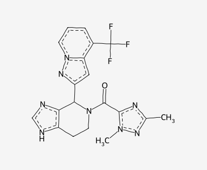 Cc1nc(C(=O)N2CCc3[nH]cnc3C2c2cc3c(C(F)(F)F)cccn3n2)n(C)n1